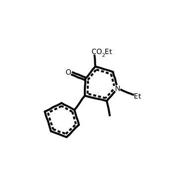 CCOC(=O)c1cn(CC)c(C)c(-c2ccccc2)c1=O